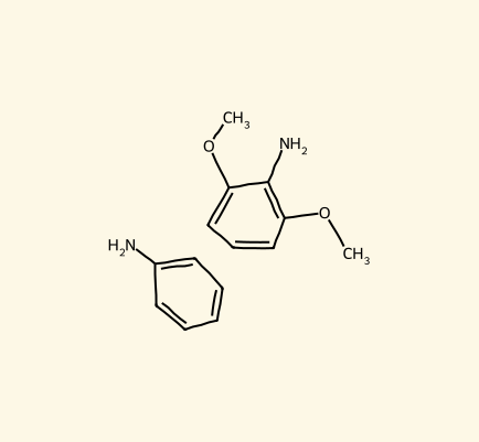 COc1cccc(OC)c1N.Nc1ccccc1